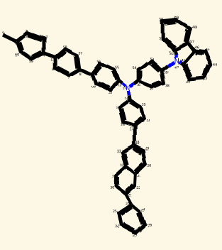 Cc1ccc(-c2ccc(-c3ccc(N(c4ccc(-c5ccc6cc(-c7ccccc7)ccc6c5)cc4)c4ccc(-n5c6ccccc6c6ccccc65)cc4)cc3)cc2)cc1